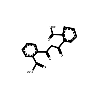 CC(=O)OC(=O)c1ccccc1C(=O)CC(=O)c1ccccc1C(=O)OC(C)=O